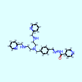 O=C(N/N=C/c1ccc(CN(CCNCc2ccccn2)CCNCc2ccccn2)cc1)c1ccncc1